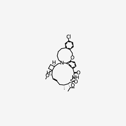 CO[C@H]1/C=C/C[C@@H](C)[C@@H](C(C)C)S(=O)(=O)NC(=O)c2ccc3c(c2)N(CCCCc2cc(Cl)ccc2CO3)C[C@@H]2CC[C@H]21